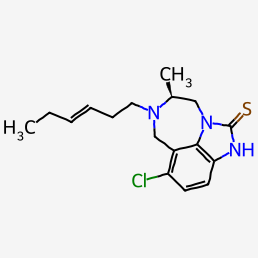 CC/C=C/CCN1Cc2c(Cl)ccc3[nH]c(=S)n(c23)C[C@@H]1C